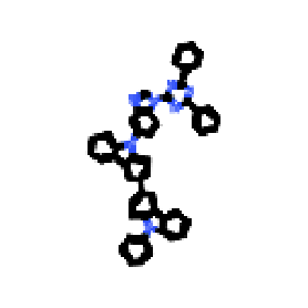 c1ccc(-c2nc(-c3ccccc3)nc(-n3cnc4cc(-n5c6ccccc6c6cc(-c7ccc8c(c7)c7ccccc7n8-c7ccccc7)ccc65)ccc43)n2)cc1